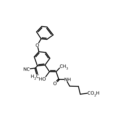 C=C(C#N)c1cc(Oc2ccccc2)ccc1/C(O)=C(\C)C(=O)NCCCC(=O)O